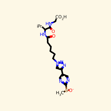 CC(C)C(NC(=O)CCCCCn1cc(-c2cnc([S+](C)[O-])nc2)nn1)C(=O)NCC(=O)O